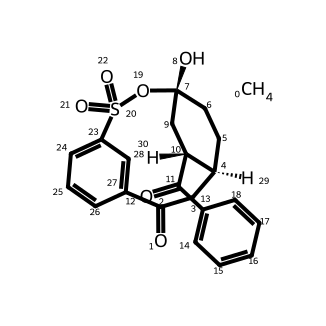 C.O=C1C[C@@H]2CC[C@](O)(C[C@H]2C(=O)c2ccccc2)OS(=O)(=O)c2cccc1c2